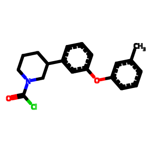 Cc1cccc(Oc2cccc(C3CCCN(C(=O)Cl)C3)c2)c1